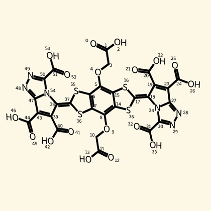 O=C(O)COc1c2c(c(OCC(=O)O)c3c1SC(=c1c(C(=O)O)c(C(=O)O)c4nnc(C(=O)O)n14)S3)SC(=c1c(C(=O)O)c(C(=O)O)c3nnc(C(=O)O)n13)S2